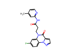 Cc1ccnc(NC(=O)CCn2c(=O)c3ccnn3c3ccc(F)cc32)c1